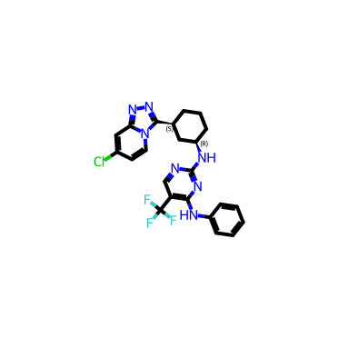 FC(F)(F)c1cnc(N[C@@H]2CCC[C@H](c3nnc4cc(Cl)ccn34)C2)nc1Nc1ccccc1